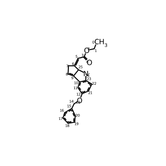 CCOC(=O)C=C1CC=C2c3cc(OCc4ccccc4)ccc3[N]C12